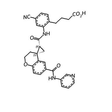 N#Cc1ccc(CCCC(=O)O)c(NC(=O)[C@@H]2C[C@]23CCOc2ccc(C(=O)Nc4cccnc4)cc23)c1